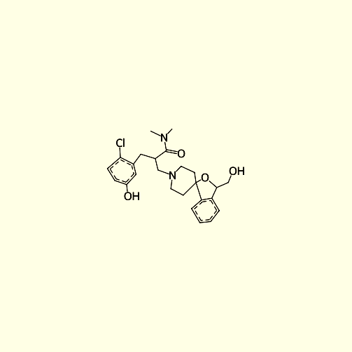 CN(C)C(=O)C(Cc1cc(O)ccc1Cl)CN1CCC2(CC1)OC(CO)c1ccccc12